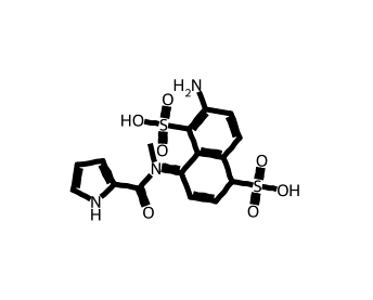 C[N+](C(=O)c1ccc[nH]1)=C1C=CC(S(=O)(=O)O)c2ccc(N)c(S(=O)(=O)O)c21